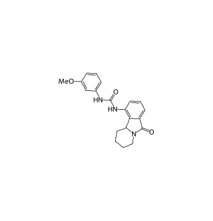 COc1cccc(NC(=O)Nc2cccc3c2C2CCCCN2C3=O)c1